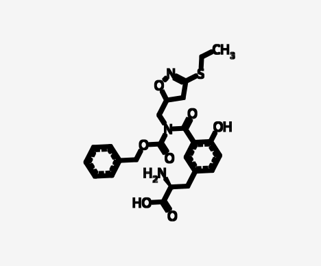 CCSC1=NOC(CN(C(=O)OCc2ccccc2)C(=O)c2cc(C[C@H](N)C(=O)O)ccc2O)C1